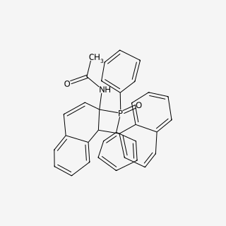 CC(=O)NC1(P(=O)(c2ccccc2)c2ccccc2)C=Cc2ccccc2C1c1cccc2ccccc12